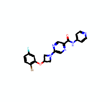 O=C(Nc1ccncc1)c1cnc(N2CC(Oc3cc(F)ccc3Br)C2)cn1